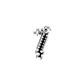 CO[Si](C)(OC)C(F)C(F)(F)C(F)(F)C(F)(F)C(F)(F)C(F)(F)C(F)(F)C(F)C(F)C(F)F